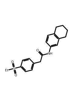 CCS(=O)(=O)c1ccc(CC(=O)Nc2ccc3c(c2)CCCC3)cc1